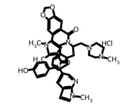 Cc1c(C(=O)N(c2ccc(O)cc2)c2cnc3c(ccn3C)c2)cc(-c2cc3c(cc2C(=O)N2Cc4ccccc4CC2CN2CCN(C)CC2)OCO3)n1C.Cl